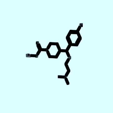 CN(C)CCOC(c1ccc(Cl)cc1)C1CCN(C(=O)OC(C)(C)C)CC1